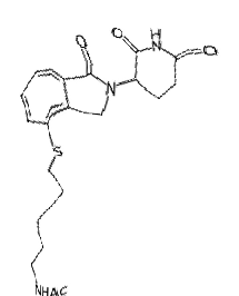 CC(=O)NCCCCCSc1cccc2c1CN(C1CCC(=O)NC1=O)C2=O